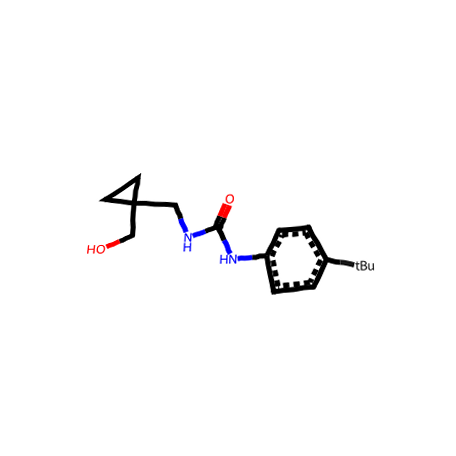 CC(C)(C)c1ccc(NC(=O)NCC2(CO)CC2)cc1